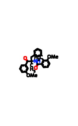 COc1cccc(C(=O)C(C)(Cc2ccccc2)NC(=O)c2cccc(OC)c2C)c1